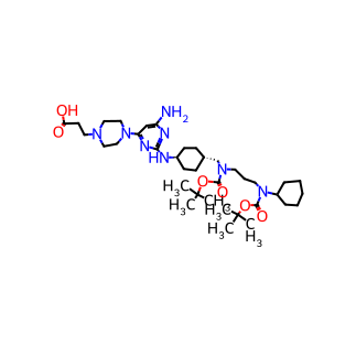 CC(C)(C)OC(=O)N(CCCN(C(=O)OC(C)(C)C)C1CCCCC1)C[C@H]1CC[C@H](Nc2nc(N)cc(N3CCN(CCC(=O)O)CC3)n2)CC1